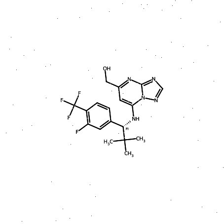 CC(C)(C)[C@@H](Nc1cc(CO)nc2ncnn12)c1ccc(C(F)(F)F)c(F)c1